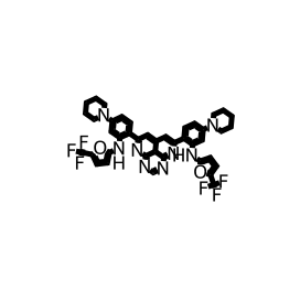 FC(F)(F)c1ccc(Nc2cc(N3CCCCC3)ccc2C2=CC3=CC(c4ccc(N5CCCCC5)cc4Nc4ccc(C(F)(F)F)o4)=NC4=NC=NC(=N2)C34)o1